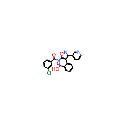 O=C(Nc1onc(-c2cccnc2)c1-c1ccccc1C(=O)O)c1cccc(Cl)c1